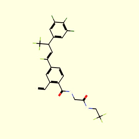 C=Cc1cc(C(F)=CC(c2cc(Cl)c(Cl)c(Cl)c2)C(F)(F)F)ccc1C(=O)NCC(=O)NCC(F)(F)F